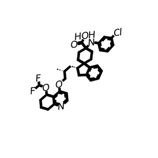 C[C@@H](COc1ccnc2c1C(OC(F)F)CCC2)C[C@H]1Cc2ccccc2C12CCC(Nc1cccc(Cl)c1)(C(=O)O)CC2